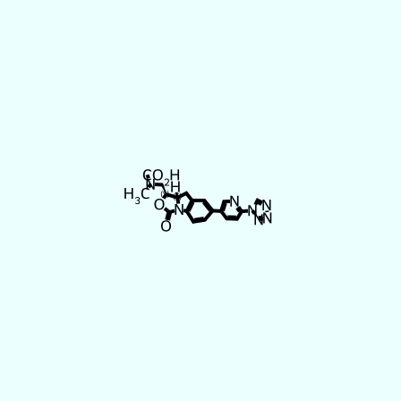 CN(C[C@@H]1OC(=O)N2c3ccc(-c4ccc(-n5cnnn5)nc4)cc3C[C@@H]12)C(=O)O